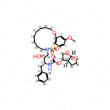 COc1ccc2c(c1)OCCCCCCCCN(C[C@@H](O)[C@H](Cc1ccccc1)NC(=O)O[C@H]1CO[C@H]3OCC[C@H]31)S2(=O)=O